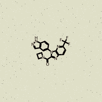 O=C(c1nc2ccc(C(F)(F)F)nc2n1-c1ccc2[nH]ncc2c1)N1CCC1